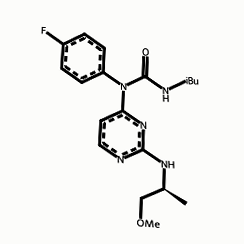 CCC(C)NC(=O)N(c1ccc(F)cc1)c1ccnc(N[C@@H](C)COC)n1